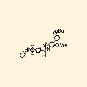 CCCCOc1cccc(-c2cc3nnc(Nc4ccc(S(=O)(=O)NCCN5CCCC5)cc4)nc3cc2OC)c1